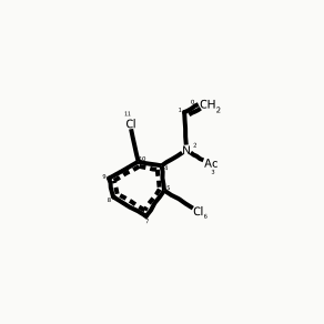 C=CN(C(C)=O)c1c(Cl)cccc1Cl